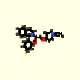 CN1CCC(OCC(=O)N2CCc3ccccc3[C@@H]2c2ccc(F)cc2)CC1